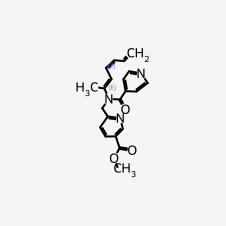 C=C/C=C\C=C(/C)N(Cc1ccc(C(=O)OC)cn1)C(=O)c1ccncc1